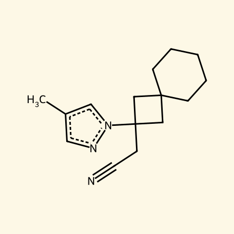 Cc1cnn(C2(CC#N)CC3(CCCCC3)C2)c1